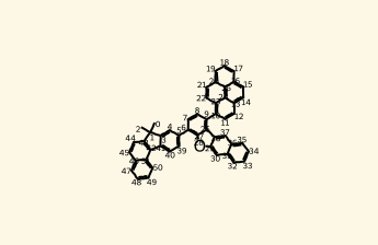 CC1(C)c2cc(-c3ccc(-c4ccc5ccc6cccc7ccc4c5c67)c4c3oc3cc5ccccc5cc34)ccc2-c2c1ccc1ccccc21